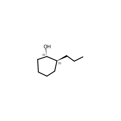 CCC[C@H]1CCCC[C@@H]1O